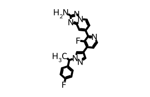 CC(c1ccc(F)cc1)n1cc(-c2ccnc(-c3ccn4nc(N)nc4c3)c2F)cn1